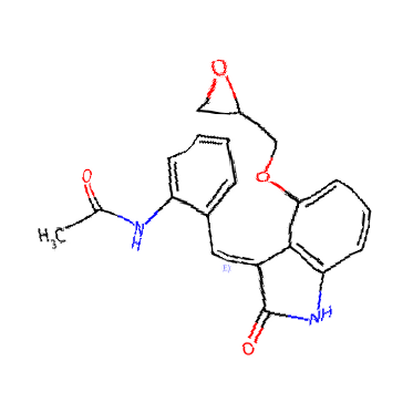 CC(=O)Nc1ccccc1/C=C1/C(=O)Nc2cccc(OCC3CO3)c21